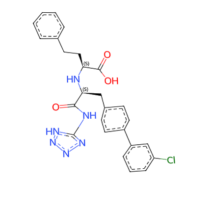 O=C(O)[C@H](CCc1ccccc1)N[C@@H](Cc1ccc(-c2cccc(Cl)c2)cc1)C(=O)Nc1nnn[nH]1